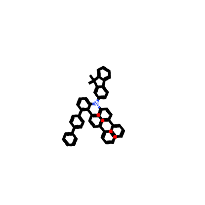 CC1(C)c2ccccc2-c2ccc(N(c3ccc(-c4ccccc4)cc3)c3cccc(-c4ccc(-c5ccccc5)cc4)c3-c3ccc(-c4ccccc4)cc3)cc21